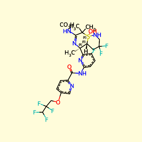 CC1(C)C(NC(=O)O)=N[C@](C)(c2nc(NC(=O)c3ccc(OCC(F)(F)C(F)F)cn3)ccc2F)[C@H]2CC(F)(F)CN[S@@]21O